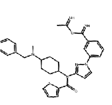 CC(=N)OC(=N)c1cccc(-n2ccc(N(C(=O)c3cccs3)C3CCC(N(C)Cc4ccccc4)CC3)n2)c1